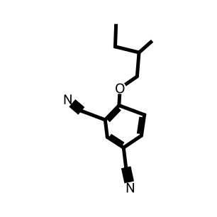 CCC(C)COc1ccc(C#N)cc1C#N